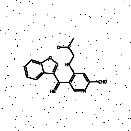 C[S+]([O-])CNc1cc(C=O)ncc1C(=N)c1coc2ccccc12